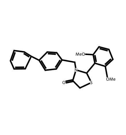 COc1cccc(OC)c1C1SCC(=O)N1Cc1ccc(-c2ccccc2)cc1